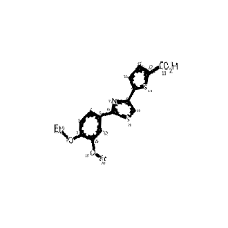 CCOc1ccc(-c2nc(-c3ccc(C(=O)O)s3)cs2)cc1OCC